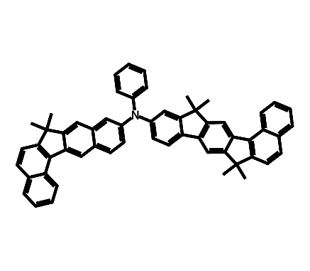 CC1(C)c2cc(N(c3ccccc3)c3ccc4cc5c(cc4c3)C(C)(C)c3ccc4ccccc4c3-5)ccc2-c2cc3c(cc21)-c1c(ccc2ccccc12)C3(C)C